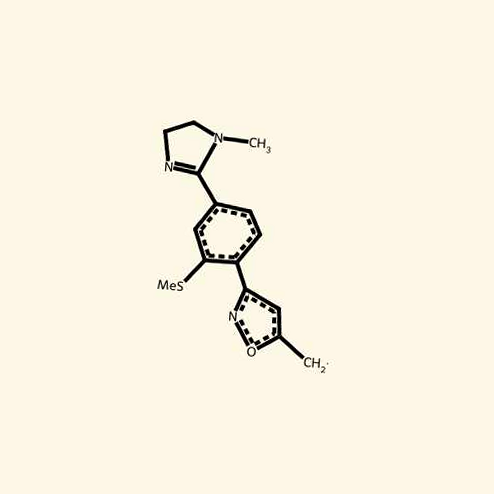 [CH2]c1cc(-c2ccc(C3=NCCN3C)cc2SC)no1